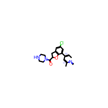 C=N/C(C)=C\C(=C/C)c1cc(Cl)cc2c1OC(C(=O)N1CCNCC1)C2